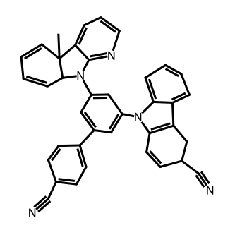 CC12C=CC=CC1N(c1cc(-c3ccc(C#N)cc3)cc(-n3c4c(c5ccccc53)CC(C#N)C=C4)c1)c1ncccc12